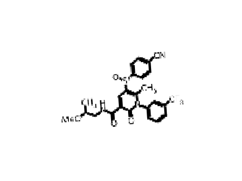 COC(C)CNC(=O)c1cc([S+]([O-])c2ccc(C#N)cc2)c(C)n(-c2cccc(C(F)(F)F)c2)c1=O